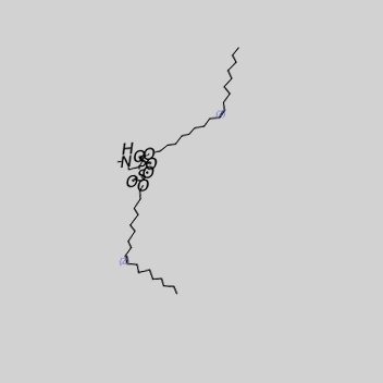 CCCCCCCC/C=C\CCCCCCCCOS(=O)(=O)C(CNC)S(=O)(=O)OCCCCCCCC/C=C\CCCCCCCC